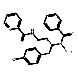 CN(C(=O)c1ccccc1)[C@H](CCNC(=O)c1ccccn1)Cc1ccc(Cl)cc1